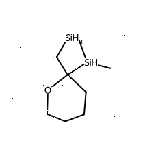 C[SiH](C)C1([CH][SiH3])CCCCO1